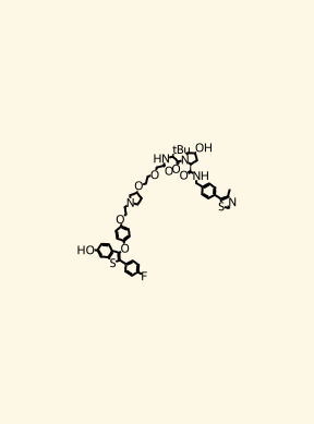 Cc1ncsc1-c1ccc(CNC(=O)[C@@H]2C[C@@H](O)CN2C(=O)[C@@H](NC(=O)COCCO[C@@H]2CCN(CCOc3ccc(Oc4c(-c5ccc(F)cc5)sc5cc(O)ccc45)cc3)C2)C(C)(C)C)cc1